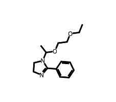 CCOCCOC(C)N1CCN=C1c1ccccc1